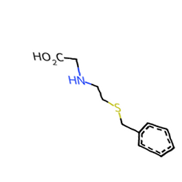 O=C(O)CNCCSCc1ccccc1